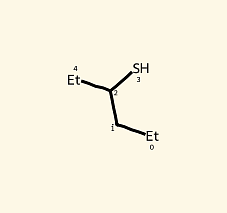 CC[CH]C(S)CC